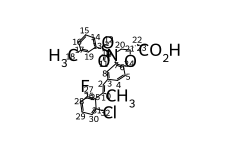 C/C(=C\c1ccc2c(c1)N(S(=O)(=O)c1cccc(C)c1)C[C@H](CC(=O)O)O2)c1c(F)cccc1Cl